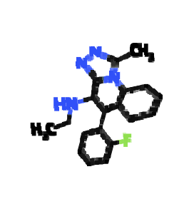 CCNc1c(-c2ccccc2F)c2ccccc2n2c(C)nnc12